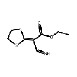 CCOC(=O)C(C=N)=C1SCCS1